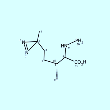 C[C@H](CCC1(C)N=N1)C(NP)C(=O)O